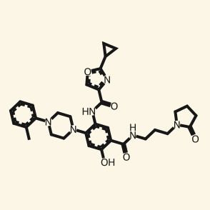 Cc1ccccc1N1CCN(c2cc(O)c(C(=O)NCCCN3CCCC3=O)cc2NC(=O)c2coc(C3CC3)n2)CC1